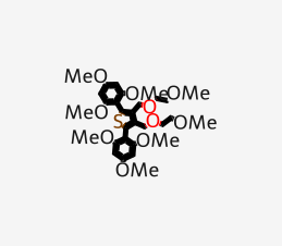 COCCOCc1c(-c2c(OC)cc(OC)cc2OC)sc(-c2c(OC)cc(OC)cc2OC)c1COCCOC